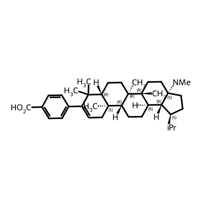 CN[C@]12CC[C@@H](C(C)C)[C@@H]1[C@H]1CC[C@@H]3[C@@]4(C)CC=C(c5ccc(C(=O)O)cc5)C(C)(C)[C@@H]4CC[C@@]3(C)[C@]1(C)CC2